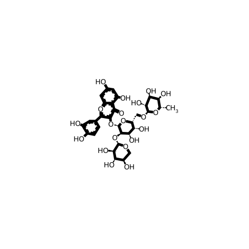 C[C@@H]1O[C@@H](OC[C@H]2O[C@@H](Oc3c(-c4ccc(O)c(O)c4)oc4cc(O)cc(O)c4c3=O)[C@H](O[C@@H]3OC[C@@H](O)[C@H](O)[C@H]3O)[C@@H](O)[C@H]2O)[C@H](O)[C@H](O)[C@H]1O